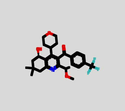 COC(C)c1nc2c(c(C3CCOCC3)c1C(=O)c1ccc(C(F)(F)F)cc1)[C@@H](O)CC(C)(C)C2